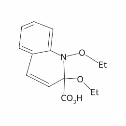 CCON1c2ccccc2C=CC1(OCC)C(=O)O